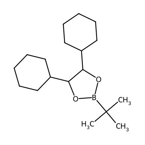 CC(C)(C)B1OC(C2CCCCC2)C(C2CCCCC2)O1